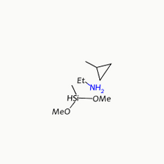 CC1CC1.CCN.CO[SiH](C)OC